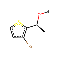 [CH2]CO[C@@H](C)c1sccc1Br